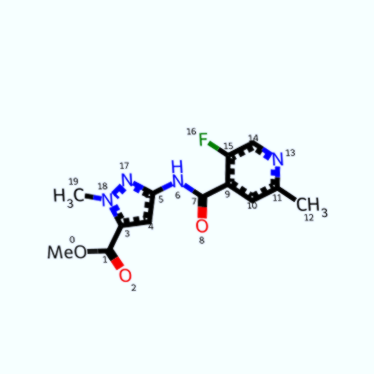 COC(=O)c1cc(NC(=O)c2cc(C)ncc2F)nn1C